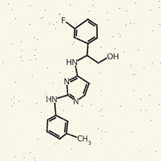 Cc1cccc(Nc2nccc(NC(CO)c3cccc(F)c3)n2)c1